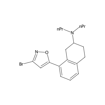 CCCN(CCC)C1CCc2cccc(-c3cc(Br)no3)c2C1